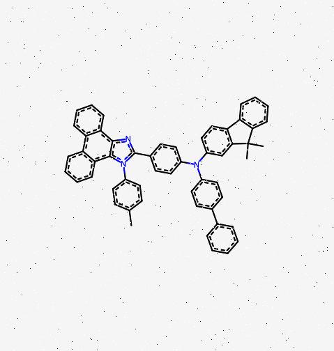 Cc1ccc(-n2c(-c3ccc(N(c4ccc(-c5ccccc5)cc4)c4ccc5c(c4)C(C)(C)c4ccccc4-5)cc3)nc3c4ccccc4c4ccccc4c32)cc1